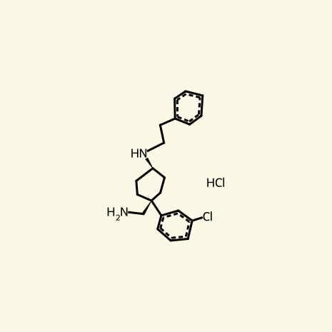 Cl.NC[C@]1(c2cccc(Cl)c2)CC[C@H](NCCc2ccccc2)CC1